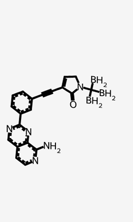 BC(B)(B)N1CC=C(C#Cc2cccc(-c3ncc4ccnc(N)c4n3)c2)C1=O